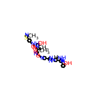 Cc1ncsc1-c1ccc(CNC(=O)[C@@H]2C[C@@H](O)CN2C(=O)C(c2cc(OCCN3CCC(c4cnc(N5CCC6c7cc(-c8ccccc8O)nnc7NC[C@H]6C5)nc4)CC3)no2)C(C)C)cc1